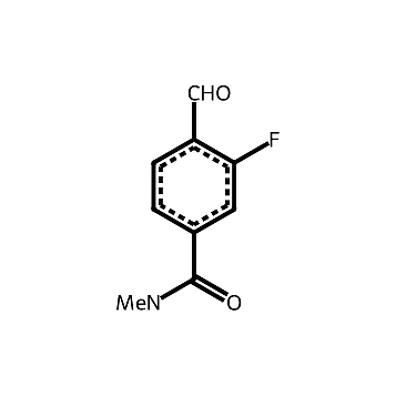 CNC(=O)c1ccc(C=O)c(F)c1